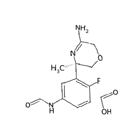 C[C@@]1(c2cc(NC=O)ccc2F)COCC(N)=N1.O=CO